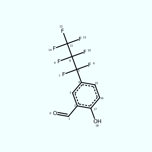 O=Cc1cc(C(F)(F)C(F)(F)C(F)(F)F)ccc1O